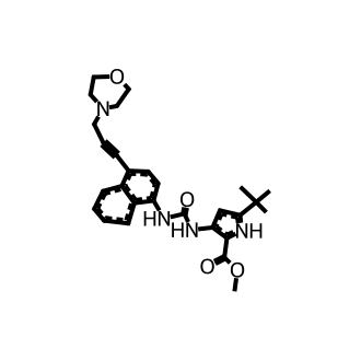 COC(=O)c1[nH]c(C(C)(C)C)cc1NC(=O)Nc1ccc(C#CCN2CCOCC2)c2ccccc12